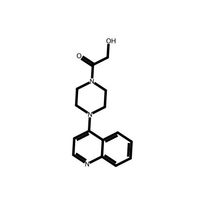 O=C(CO)N1CCN(c2ccnc3ccccc23)CC1